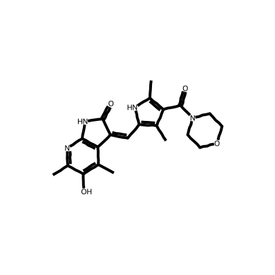 Cc1nc2c(c(C)c1O)/C(=C/c1[nH]c(C)c(C(=O)N3CCOCC3)c1C)C(=O)N2